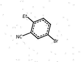 CCc1ccc(Br)cc1C#N